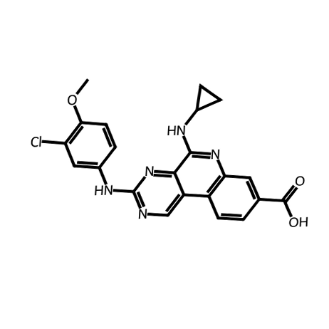 COc1ccc(Nc2ncc3c(n2)c(NC2CC2)nc2cc(C(=O)O)ccc23)cc1Cl